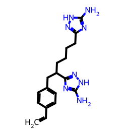 C=Cc1ccc(CC(CCCCc2n[nH]c(N)n2)c2n[nH]c(N)n2)cc1